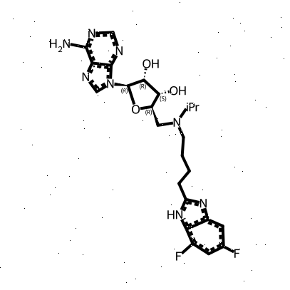 CC(C)N(CCCCc1nc2cc(F)cc(F)c2[nH]1)C[C@H]1O[C@@H](n2cnc3c(N)ncnc32)[C@H](O)[C@@H]1O